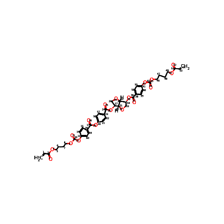 C=CC(=O)OCCCCOC(=O)Oc1ccc(C(=O)Oc2ccc(C(=O)O[C@H]3CO[C@H]4[C@@H]3OC[C@@H]4OC(=O)c3ccc(OC(=O)OCCCCOC(=O)C=C)cc3)cc2)cc1